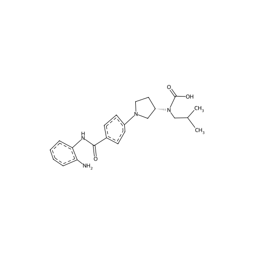 CC(C)CN(C(=O)O)[C@H]1CCN(c2ccc(C(=O)Nc3ccccc3N)cc2)C1